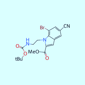 COC(=O)c1cc2cc(C#N)cc(Br)c2n1CCNC(=O)OC(C)(C)C